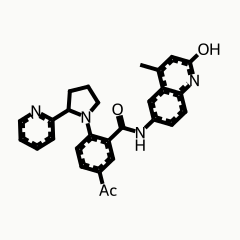 CC(=O)c1ccc(N2CCCC2c2ccccn2)c(C(=O)Nc2ccc3nc(O)cc(C)c3c2)c1